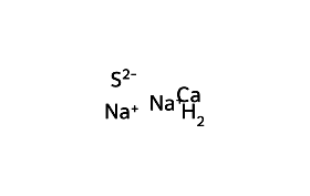 [CaH2].[Na+].[Na+].[S-2]